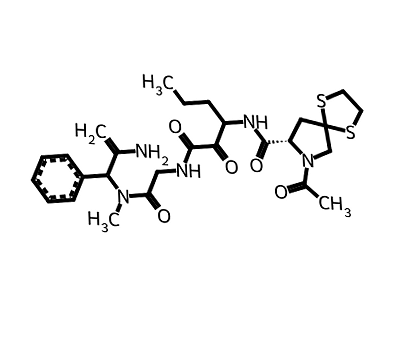 C=C(N)C(c1ccccc1)N(C)C(=O)CNC(=O)C(=O)C(CCC)NC(=O)[C@@H]1CC2(CN1C(C)=O)SCCS2